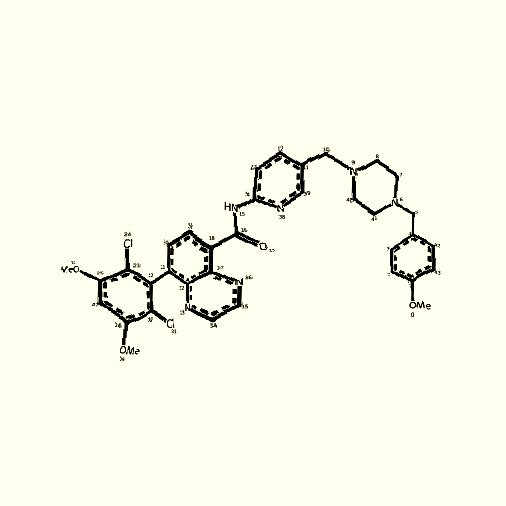 COc1ccc(CN2CCN(Cc3ccc(NC(=O)c4ccc(-c5c(Cl)c(OC)cc(OC)c5Cl)c5nccnc45)nc3)CC2)cc1